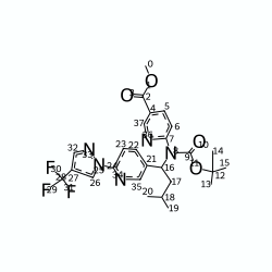 COC(=O)c1ccc(N(C(=O)OC(C)(C)C)C(CC(C)C)c2ccc(-n3cc(C(F)(F)F)cn3)nc2)nc1